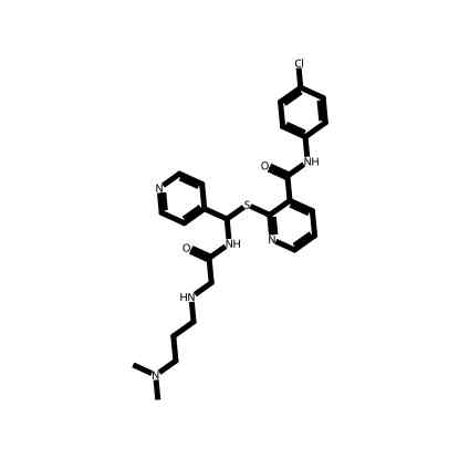 CN(C)CCCNCC(=O)NC(Sc1ncccc1C(=O)Nc1ccc(Cl)cc1)c1ccncc1